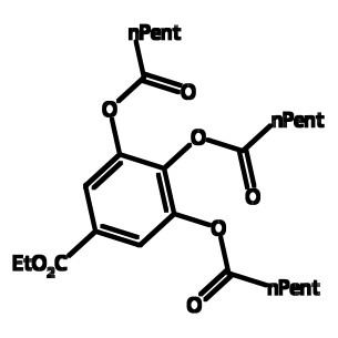 CCCCCC(=O)Oc1cc(C(=O)OCC)cc(OC(=O)CCCCC)c1OC(=O)CCCCC